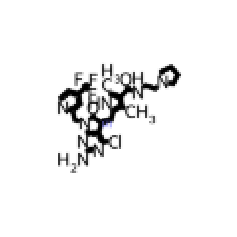 Cc1[nH]c(/C=C2\C(=O)N(Cc3cc(C(F)(F)F)ccn3)c3nc(N)nc(Cl)c32)c(C)c1C(=O)NCCN1CCCC1